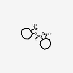 O=[N+](OC1CCCCCCCCC1[N+](=O)[O-])OC1CCCCCCCCC1[N+](=O)O